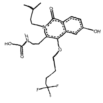 CC(C)Cn1c(CNC(=O)O)c(OCCCC(F)(F)F)c2cc(O)ccc2c1=O